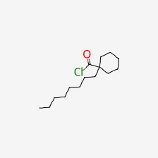 CCCCCCCCC1(C(=O)Cl)CCCCC1